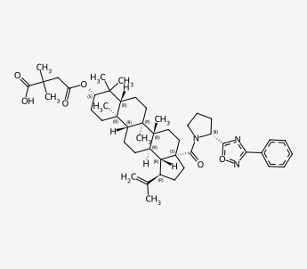 C=C(C)[C@@H]1CC[C@]2(C(=O)N3CCC[C@@H]3c3nc(-c4ccccc4)no3)CC[C@]3(C)[C@H](CC[C@@H]4[C@@]5(C)CC[C@H](OC(=O)CC(C)(C)C(=O)O)C(C)(C)[C@@H]5CC[C@]43C)[C@@H]12